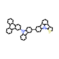 c1ccc2c(c1)c1ccccc1c1cc(-n3c4ccccc4c4cc(-c5ccc6c(c5)c5cccc7c8ccsc8n6c57)ccc43)ccc21